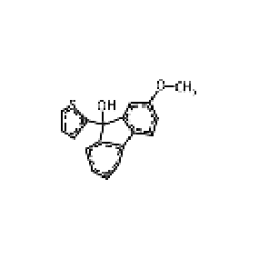 COc1ccc2c(c1)C(O)(c1cccs1)c1ccccc1-2